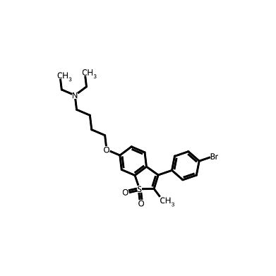 CCN(CC)CCCCOc1ccc2c(c1)S(=O)(=O)C(C)=C2c1ccc(Br)cc1